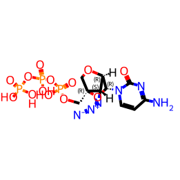 [N-]=[N+]=N[C@H]1[C@H]2OC[C@]1(COP(=O)(O)OP(=O)(O)OP(=O)(O)O)O[C@H]2n1ccc(N)nc1=O